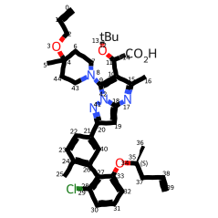 C=CCOC1(C)CCN(c2c(C(OC(C)(C)C)C(=O)O)c(C)nc3cc(-c4ccc(C)c(-c5c(Cl)cccc5O[C@@H](C)CC=C)c4)nn23)CC1